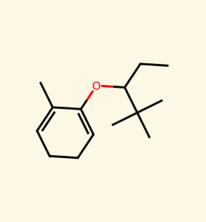 CCC(OC1=CCCC=C1C)C(C)(C)C